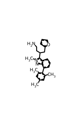 Cc1cc(C)c(-c2cccc3c(C(CCN)Cc4ccco4)n(C)nc23)c(C)c1